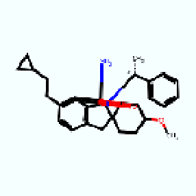 COC1CCC2(CC1)Cc1ccc(CCC3CC3)cc1C21N=C(N)N([C@H](C)c2ccccc2)C1=O